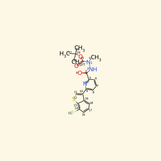 CN(NC(=O)c1cccc(-c2csc3c(F)cccc23)n1)C(=O)OC(C)(C)C